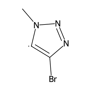 Cn1[c]c(Br)nn1